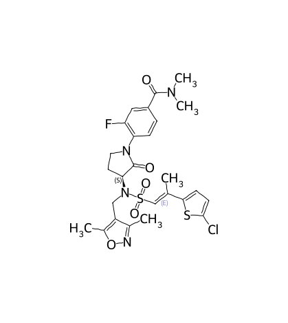 C/C(=C\S(=O)(=O)N(Cc1c(C)noc1C)[C@H]1CCN(c2ccc(C(=O)N(C)C)cc2F)C1=O)c1ccc(Cl)s1